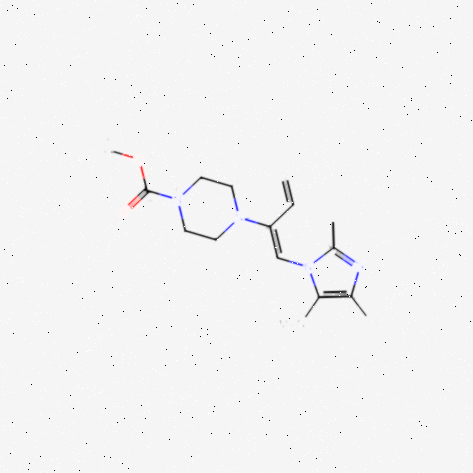 C=C/C(=C\n1c(C)nc(CC)c1NC)N1CCN(C(=O)OC(C)(C)C)CC1